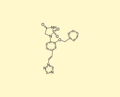 O=C1CN(c2ccc(C=Cn3cncn3)cc2OCc2ccccc2)S(=O)(=O)N1